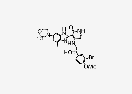 COc1ccc([C@H](O)CNc2cc[nH]c(=O)c2-c2nc3c(C)cc(N4CCO[C@@H](C)C4)cc3[nH]2)cc1Br